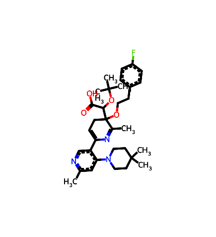 CC1=NC(c2cnc(C)cc2N2CCC(C)(C)CC2)=CCC1(OCCc1ccc(F)cc1)C(OC(C)(C)C)C(=O)O